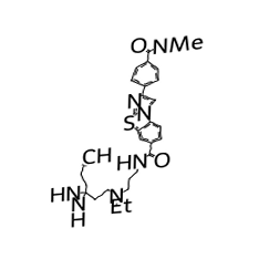 C#CCCC1(CCN(CC)CCCNC(=O)c2ccc3c(c2)sc2nc(-c4ccc(C(=O)NC)cc4)cn23)NN1